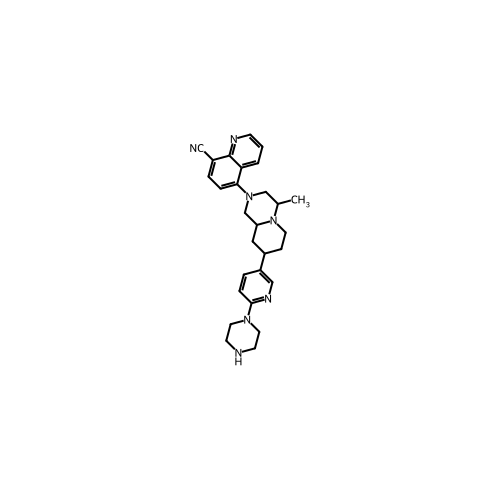 CC1CN(c2ccc(C#N)c3ncccc23)CC2CC(c3ccc(N4CCNCC4)nc3)CCN12